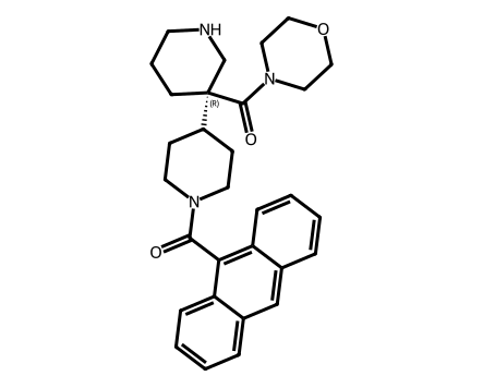 O=C(c1c2ccccc2cc2ccccc12)N1CCC([C@]2(C(=O)N3CCOCC3)CCCNC2)CC1